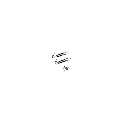 [Ag].[O]=[Cu].[O]=[Zn]